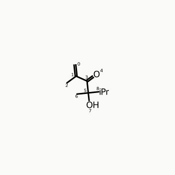 C=C(C)C(=O)C(C)(O)C(C)C